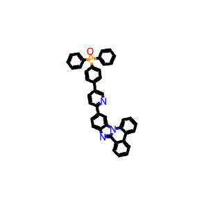 O=P(c1ccccc1)(c1ccccc1)c1ccc(-c2ccc(-c3ccc4nc5c6ccccc6c6ccccc6n5c4c3)nc2)cc1